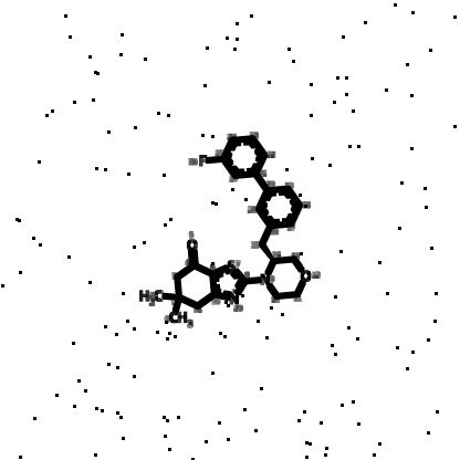 CC1(C)CC(=O)c2sc(N3CCOC[C@@H]3Cc3cccc(-c4cccc(F)c4)c3)nc2C1